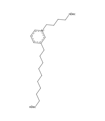 CCCCCCCCCCCCCCCCCCCc1ccc[n+](CCCCCCCCCCCCCC)c1